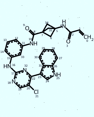 C=CC(=O)NC12CC(C(=O)Nc3cccc(Nc4ncc(Cl)c(-c5c[nH]c6ccccc56)n4)c3)(C1)C2